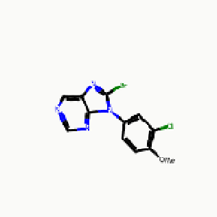 COc1ccc(-n2c(Br)nc3cncnc32)cc1Cl